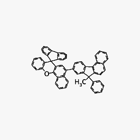 CC1(c2ccccc2)c2cc(-c3cc4c(c5ccccc35)Oc3ccccc3C43c4ccccc4-c4ccccc43)ccc2-c2c1ccc1ccccc21